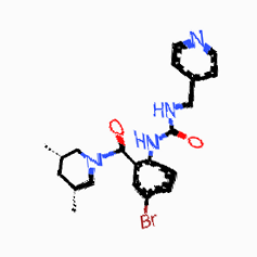 C[C@@H]1C[C@H](C)CN(C(=O)c2cc(Br)ccc2NC(=O)NCc2ccncc2)C1